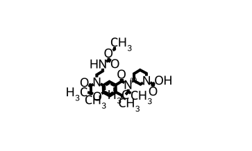 CCOC(=O)NCCN1C(=O)C(C)(C)Oc2cc(CC)c(C(=O)N(C(C)C)[C@@H]3CCCN(C(=O)O)C3)cc21